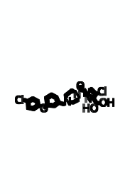 O=C(N1CCN(Cc2cccc(Oc3ccc(Cl)cc3)c2)CC1)n1cc(Cl)c(C(O)O)n1